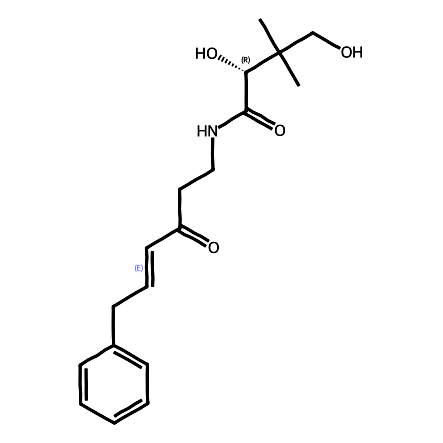 CC(C)(CO)[C@@H](O)C(=O)NCCC(=O)/C=C/Cc1ccccc1